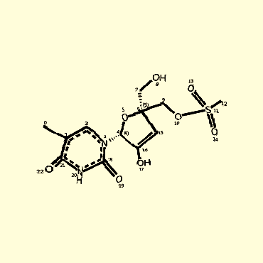 Cc1cn([C@@H]2O[C@@](CO)(COS(C)(=O)=O)C=C2O)c(=O)[nH]c1=O